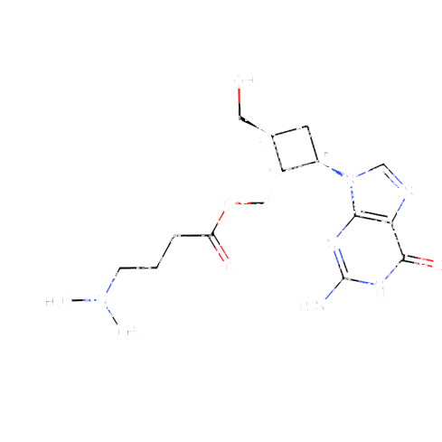 CN(C)CCCC(=O)OC[C@@H]1[C@@H](CO)C[C@H]1n1cnc2c(=O)[nH]c(N)nc21